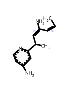 C/C=C\C(N)=C/C(C)c1cc(N)ccn1